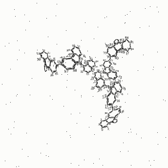 c1ccc2c(c1)oc1ccc(-c3ccc4c(c3)c3ccccc3n4-c3ccc4cc(-c5ccc(-n6c7ccccc7c7cc(-c8ccc9oc%10ccccc%10c9c8)ccc76)c6ccccc56)cc(-n5c6ccccc6c6cc(-c7ccc8oc9ccccc9c8c7)ccc65)c4c3)cc12